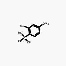 COc1ccc([PH](O)(O)O)c(C(C)(C)C)c1